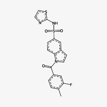 Cc1ccc(C(=O)n2ccc3cc(S(=O)(=O)Nc4nccs4)ccc32)cc1F